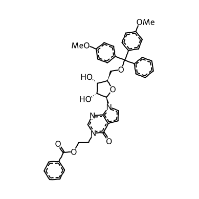 COc1ccc(C(OC[C@H]2O[C@@H](n3ccc4c(=O)n(CCOC(=O)c5ccccc5)cnc43)[C@H](O)[C@@H]2O)(c2ccccc2)c2ccc(OC)cc2)cc1